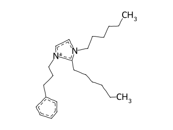 CCCCCCc1n(CCCCCC)cc[n+]1CCCc1ccccc1